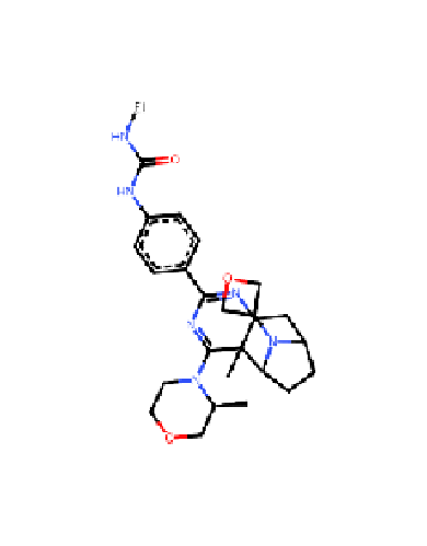 CCNC(=O)Nc1ccc(C2=NC3CC4CCC(N4C4COC4)C3(C)C(N3CCOC[C@@H]3C)=N2)cc1